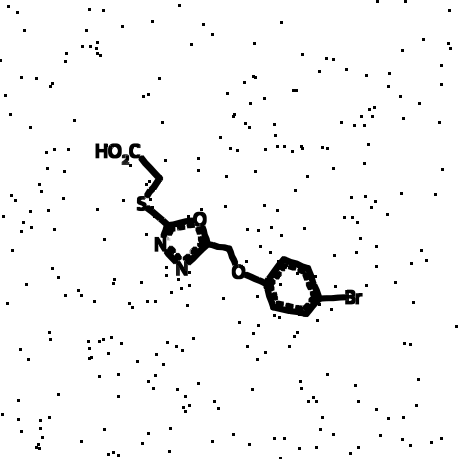 O=C(O)CSc1nnc(COc2ccc(Br)cc2)o1